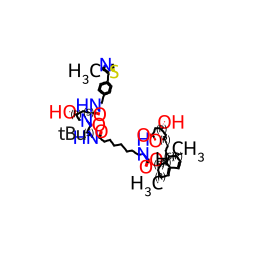 Cc1ncsc1-c1ccc(CNC(=O)[C@@H]2C[C@@H](O)CN2C(=O)[C@@H](NC(=O)CCCCCCCNC(=O)O[C@H]2C[C@@H](C)C=C3C=C[C@H](C)[C@H](CC[C@@H]4C[C@@H](O)CC(=O)O4)[C@H]32)C(C)(C)C)cc1